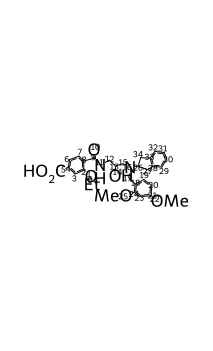 CCOc1cc(C(=O)O)ccc1C(=O)NCC(O)CN(Cc1ccc(OC)cc1OC)C1Cc2ccccc2C1